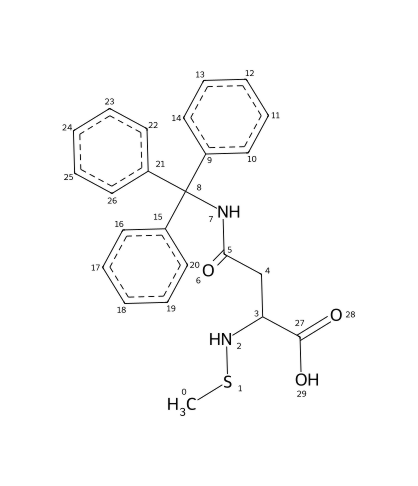 CSNC(CC(=O)NC(c1ccccc1)(c1ccccc1)c1ccccc1)C(=O)O